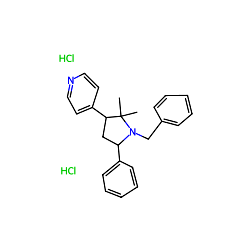 CC1(C)C(c2ccncc2)CC(c2ccccc2)N1Cc1ccccc1.Cl.Cl